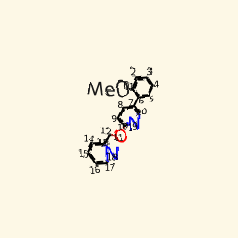 COc1ccccc1-c1ccc(OCc2ccccn2)nc1